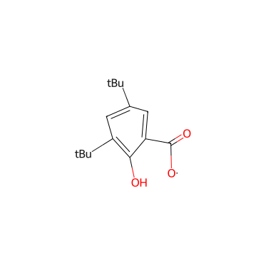 CC(C)(C)c1cc(C([O])=O)c(O)c(C(C)(C)C)c1